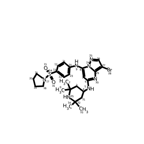 CC1(C)CC(Nc2cc(Nc3ccc(S(=O)(=O)N4CCCC4)cc3)n3ncc(Br)c3n2)CC(C)(C)N1